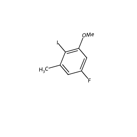 COc1cc(F)cc(C)c1I